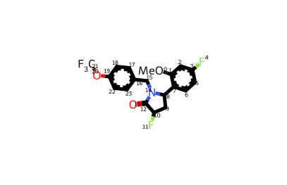 COc1cc(F)ccc1C1CC(F)C(=O)N1Cc1ccc(OC(F)(F)F)cc1